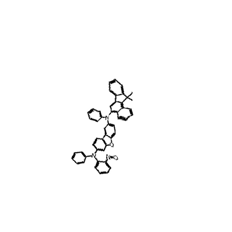 CC1(C)c2ccccc2-c2cc(N(c3ccccc3)c3ccc4oc5cc(N(c6ccccc6)c6ccccc6N=O)ccc5c4c3)c3ccccc3c21